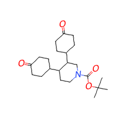 CC(C)(C)OC(=O)N1CCC(C2CCC(=O)CC2)C(C2CCC(=O)CC2)C1